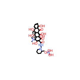 CN(C)[C@@H]1C(O)=C(C(=O)NCN2CCCCC2CON(O)O)C(=O)[C@@]2(O)C(O)=C3C(=O)c4c(O)cccc4C(C)(O)[C@H]3[C@H](O)[C@@H]12